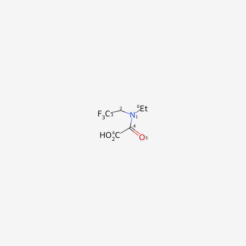 CCN(CC(F)(F)F)C(=O)C(=O)O